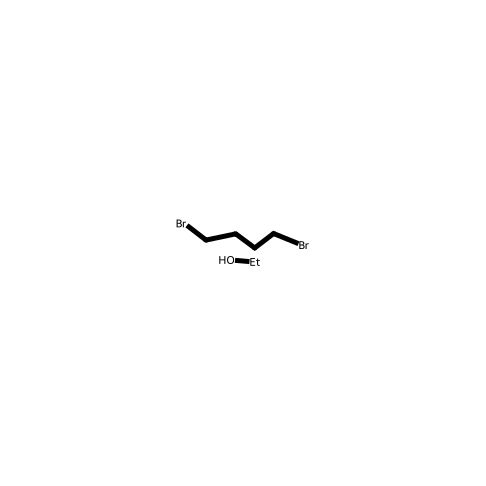 BrCCCCBr.CCO